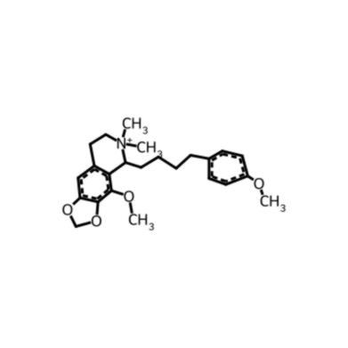 COc1ccc(CCCCC2c3c(cc4c(c3OC)OCO4)CC[N+]2(C)C)cc1